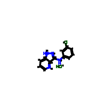 Cl.Clc1cccc(Nc2n[nH]c3cccnc23)c1